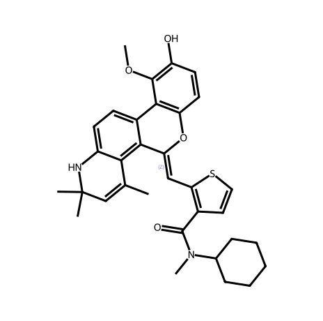 COc1c(O)ccc2c1-c1ccc3c(c1/C(=C/c1sccc1C(=O)N(C)C1CCCCC1)O2)C(C)=CC(C)(C)N3